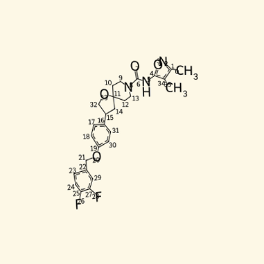 Cc1noc(NC(=O)N2CCC3(CC2)CC(c2ccc(OCc4ccc(F)c(F)c4)cc2)CO3)c1C